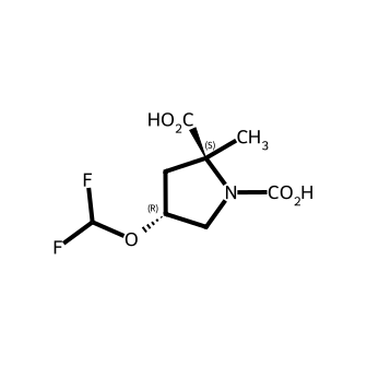 C[C@@]1(C(=O)O)C[C@@H](OC(F)F)CN1C(=O)O